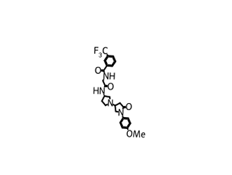 COc1ccc(N2CC(N3CC[C@@H](NC(=O)CNC(=O)c4cccc(C(F)(F)F)c4)C3)CC2=O)cc1